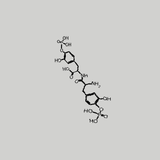 NC(Cc1ccc(OP(=O)(O)O)c(O)c1)C(=O)NC(Cc1ccc(OP(=O)(O)O)c(O)c1)C(=O)O